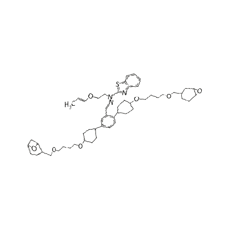 C/C=C/OCCN(/N=C/c1cc(C2CCC(OCCCCOCC3CCC4CC3O4)CC2)ccc1C1CCC(OCCCCOCC2CCC3OC3C2)CC1)c1nc2ccccc2s1